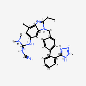 CCc1nc2c(C)cc(N/C(=N\C#N)N(C)C)cc2n1Cc1ccc(-c2ccccc2-c2nnn[nH]2)cc1